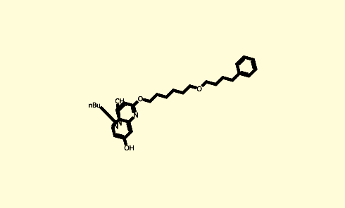 CCCCC1N=C2C=C(O)C=C3N=C(OCCCCCCOCCCCc4ccccc4)C=CC32N1C